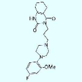 COc1cc(F)ccc1N1CCN(CCCn2c(=O)[nH]c3c(c2=O)CCCC3)CC1